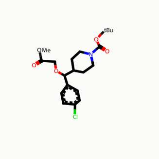 COC(=O)COC(c1ccc(Cl)cc1)C1CCN(C(=O)OC(C)(C)C)CC1